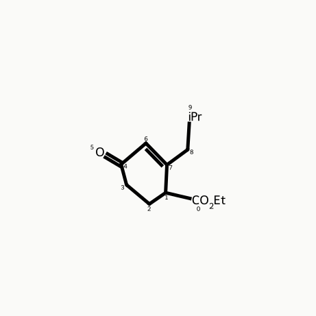 CCOC(=O)C1CCC(=O)C=C1CC(C)C